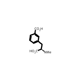 CN[C@H](Cc1cccc(C(=O)O)c1)C(=O)O